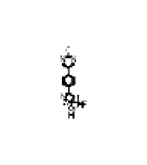 OC1(C(F)(F)F)CC(c2ccc(-c3cnc(Cl)nc3)cc2)=NO1